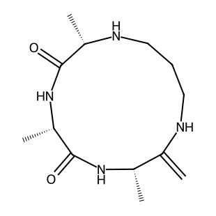 C=C1NCCCN[C@@H](C)C(=O)N[C@@H](C)C(=O)N[C@H]1C